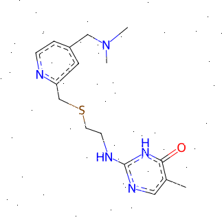 Cc1cnc(NCCSCc2cc(CN(C)C)ccn2)[nH]c1=O